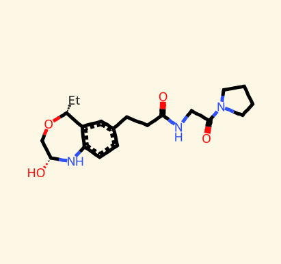 CC[C@H]1OC[C@@H](O)Nc2ccc(CCC(=O)NCC(=O)N3CCCC3)cc21